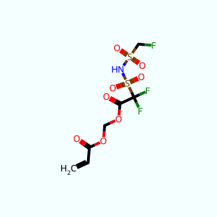 C=CC(=O)OCOC(=O)C(F)(F)S(=O)(=O)NS(=O)(=O)CF